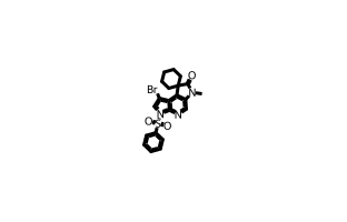 CN1C(=O)C2(CCCCC2)c2c1cnc1c2c(Br)cn1S(=O)(=O)c1ccccc1